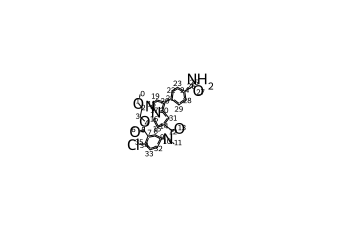 COCCOC(=O)c1cc(N(C)C(=O)c2ccn3ncc(-c4ccc(C(N)=O)cc4)c3c2)ccc1Cl